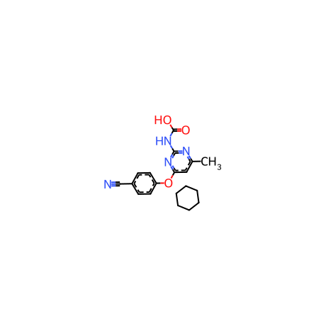 C1CCCCC1.Cc1cc(Oc2ccc(C#N)cc2)nc(NC(=O)O)n1